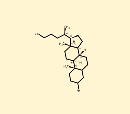 [2H]C1CC[C@@]2(C)C(CC[C@H]3[C@@H]4CC[C@H]([C@H](C)CCCC(C)C)[C@@]4(C)CC[C@@H]32)C1